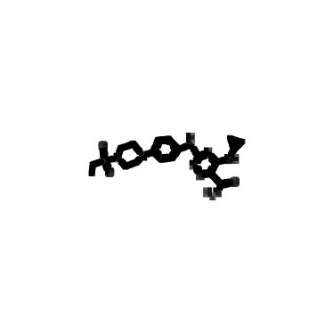 CCS(=O)(=O)N1CCN(c2ccc(Nc3nnc(C(N)=O)c(NC4CC4)n3)cc2)CC1